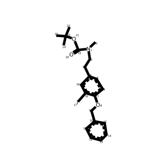 CN(CCc1ccc(OCc2ccccc2)c(I)c1)C(=O)OC(C)(C)C